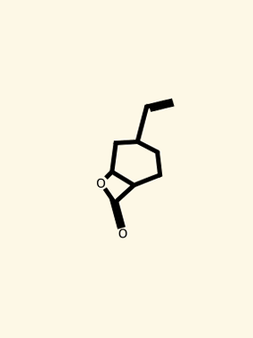 C=CC1CCC2C(=O)OC2C1